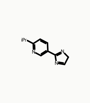 CC(C)c1ccc(C2=NCC=N2)cn1